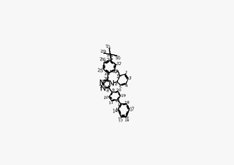 CC1C=CC=CC1n1c(-c2ccc(-c3ccccc3)cc2)nnc1-c1ccc(C(C)(C)C)cc1